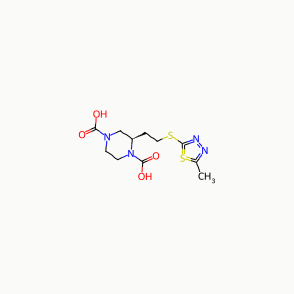 Cc1nnc(SCC[C@@H]2CN(C(=O)O)CCN2C(=O)O)s1